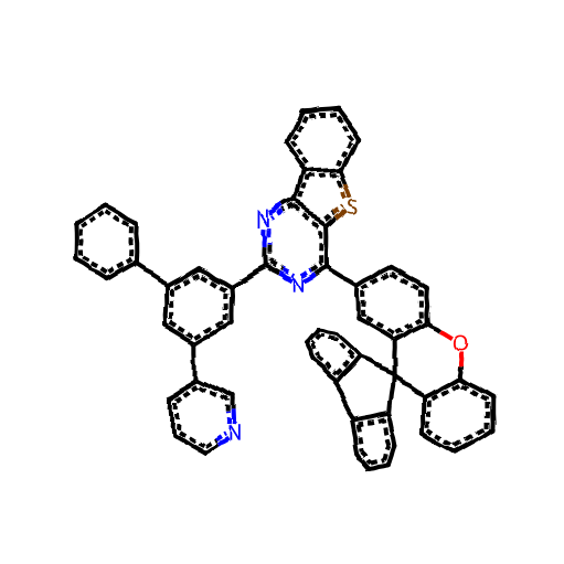 c1ccc(-c2cc(-c3cccnc3)cc(-c3nc(-c4ccc5c(c4)C4(c6ccccc6O5)c5ccccc5-c5ccccc54)c4sc5ccccc5c4n3)c2)cc1